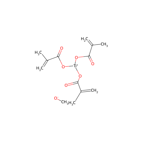 C=C(C)C(=O)[O][Ti+]([O]C(=O)C(=C)C)[O]C(=O)C(=C)C.C[O-]